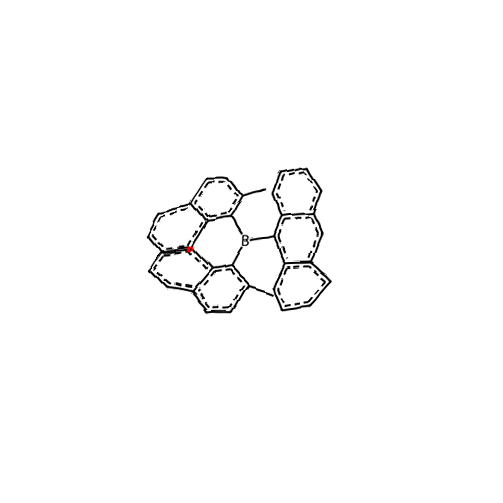 Cc1ccc2ccccc2c1B(c1c(C)ccc2ccccc12)c1c2ccccc2cc2ccccc12